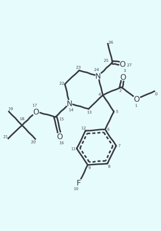 COC(=O)C1(Cc2ccc(F)cc2)CN(C(=O)OC(C)(C)C)CCN1C(C)=O